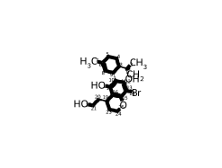 C=C(C)[C@@H]1CCC(C)=C[C@H]1c1c(O)c(Br)c2c(c1O)[C@H](CCO)CCO2